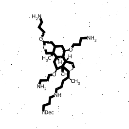 CCCCCCCCCCCCCNCCC[C@@H](C)[C@H]1CC[C@H]2C3[C@H](OCCCN)CC4C[C@H](OCCCN)CCC4(C)[C@H]3C[C@H](OCCCN)C12C